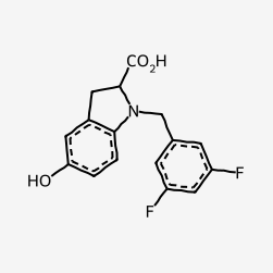 O=C(O)C1Cc2cc(O)ccc2N1Cc1cc(F)cc(F)c1